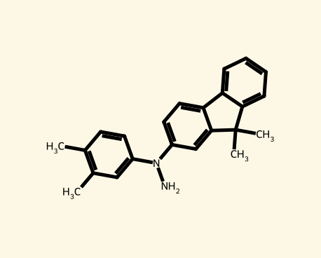 Cc1ccc(N(N)c2ccc3c(c2)C(C)(C)c2ccccc2-3)cc1C